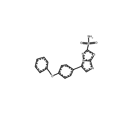 NS(=O)(=O)c1nn2c(-c3ccc(Oc4ccccc4)cc3)cnc2s1